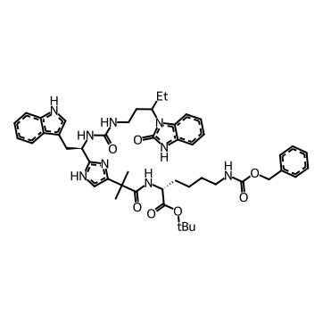 CCC(CCNC(=O)N[C@H](Cc1c[nH]c2ccccc12)c1nc(C(C)(C)C(=O)N[C@H](CCCCNC(=O)OCc2ccccc2)C(=O)OC(C)(C)C)c[nH]1)n1c(=O)[nH]c2ccccc21